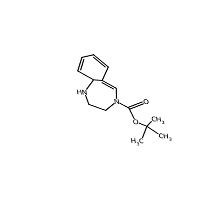 CC(C)(C)OC(=O)N1C=C2C=CC=CC2NCC1